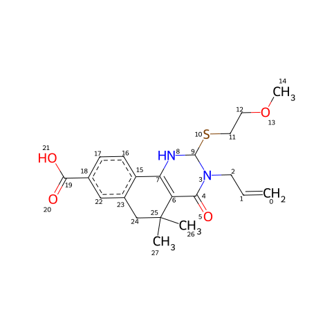 C=CCN1C(=O)C2=C(NC1SCCOC)c1ccc(C(=O)O)cc1CC2(C)C